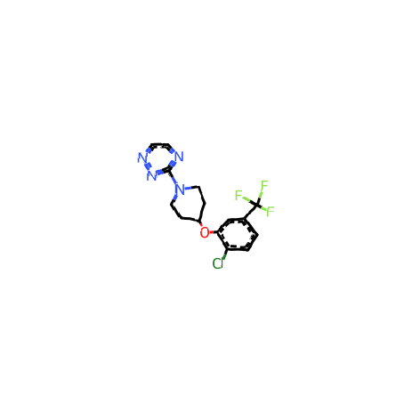 FC(F)(F)c1ccc(Cl)c(OC2CCN(c3nccnn3)CC2)c1